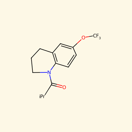 CC(C)C(=O)N1CCCc2cc(OC(F)(F)F)ccc21